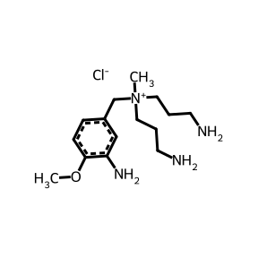 COc1ccc(C[N+](C)(CCCN)CCCN)cc1N.[Cl-]